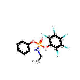 CCOC(=O)CNP(=O)(Oc1ccccc1)Oc1c(F)c(F)c(F)c(F)c1F